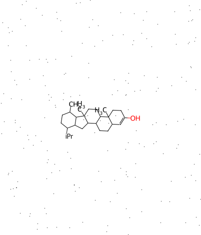 CC(C)C1CCC(C)C2C1CC1C3CCC4C=C(O)CCC4(C)C3CCC12C